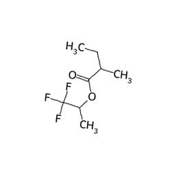 CCC(C)C(=O)OC(C)C(F)(F)F